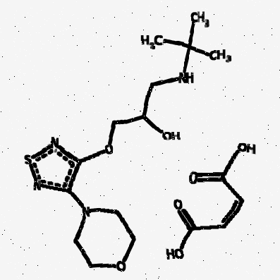 CC(C)(C)NCC(O)COc1nsnc1N1CCOCC1.O=C(O)/C=C\C(=O)O